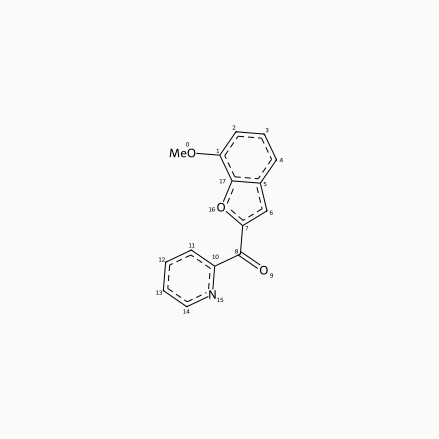 COc1cccc2cc(C(=O)c3ccccn3)oc12